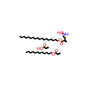 C=C(CCNO)C(=O)OCCCCCCCCCCCCCCCCCC.C=CC(=O)O.C=CC(=O)OCCCCCCCCCCCC